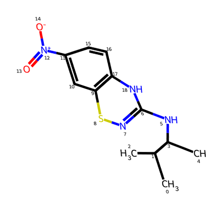 CC(C)C(C)NC1=NSc2cc([N+](=O)[O-])ccc2N1